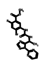 COC(=O)c1cc(NC(=O)NC(C)c2ncnn2-c2ncccn2)c(Br)cc1F